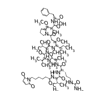 CC[C@H](C)[C@@H]([C@@H](CC(=O)N1CCC[C@H]1[C@H](OC)[C@@H](C)C(=O)N[C@@H](Cc1ccccc1)C(=O)O)OC)N(C)C(=O)[C@@H](NC(=O)[C@H](C(C)C)N(C)C(=O)[C@@H](C)NC(=O)[C@H](CCCNC(N)=O)NC(=O)[C@@H](NC(=O)CCCCCN1C(=O)C=CC1=O)C(C)C)C(C)C